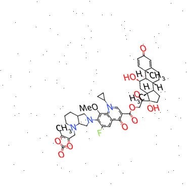 COc1c(N2CC3CCCN(Cc4oc(=O)oc4C)C3C2)c(F)cc2c(=O)c(C(=O)OCC(=O)[C@]3(O)CC[C@@H]4[C@H]5CCC6=CC(=O)C=C[C@@]6(C)[C@@H]5[C@H](O)C[C@]43C)cn(C3CC3)c12